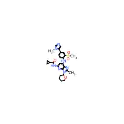 Cc1nc2c(Nc3ccc(-c4cncn4C)cc3S(C)(=O)=O)cc(NC(=O)C3CC3)nc2n1C1CCCCO1